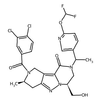 CC(c1ccc(OC(F)F)nc1)N1C[C@@H](CO)n2nc3c(c2C1=O)CN(C(=O)c1ccc(Cl)c(Cl)c1)[C@H](C)C3